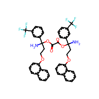 NC(CCOc1cccc2ccccc12)(OC(=O)C(=O)OC(N)(CCOc1cccc2ccccc12)c1cccc(C(F)(F)F)c1)c1cccc(C(F)(F)F)c1